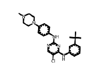 CN1CCN(c2ccc(Nc3ncc(Cl)c(Nc4cccc(C(C)(C)C)c4)n3)cc2)CC1